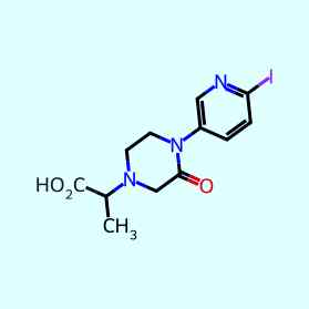 CC(C(=O)O)N1CCN(c2ccc(I)nc2)C(=O)C1